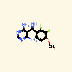 COc1ccc(C(=N)c2c(N)ncnc2N)c(F)c1F